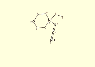 CC[N+]1(N=C=N)CCOCC1